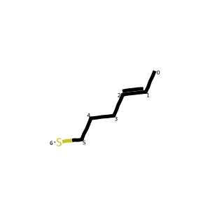 CC=CCCC[S]